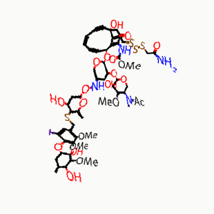 COC(=O)NC1=C2/C(=C\CSSSCC(N)=O)[C@](O)(C#C/C=C\C#C[C@@H]2OC2OCC(NOC3CC(O)C(SCc4cc(I)c(OC5CC(C)C(O)C(OC)C5O)c(OC)c4OC)C(C)O3)C(O)C2OC2CC(OC)C(N(C)C(C)=O)CO2)CC1=O